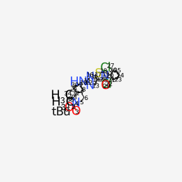 CC(C)(C)OC(=O)N1CCc2cc(Nc3ncc4c(n3)SCN(c3c(Cl)cccc3Cl)C4=O)ccc2C1(C)C